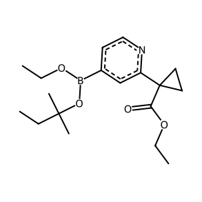 CCOB(OC(C)(C)CC)c1ccnc(C2(C(=O)OCC)CC2)c1